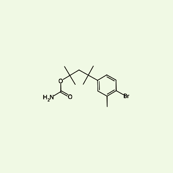 Cc1cc(C(C)(C)CC(C)(C)OC(N)=O)ccc1Br